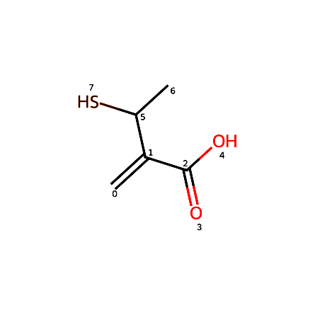 C=C(C(=O)O)C(C)S